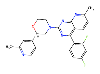 Cc1cc([C@H]2CN(c3nc(-c4ccc(F)cc4F)c4ccc(C)nc4n3)CCO2)ccn1